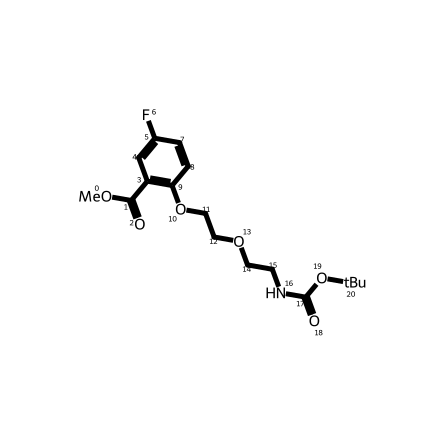 COC(=O)c1cc(F)ccc1OCCOCCNC(=O)OC(C)(C)C